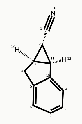 N#C[C@H]1[C@@H]2Cc3ccccc3[C@H]12